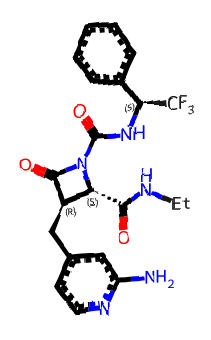 CCNC(=O)[C@@H]1[C@@H](Cc2ccnc(N)c2)C(=O)N1C(=O)N[C@@H](c1ccccc1)C(F)(F)F